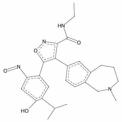 CCNC(=O)c1noc(-c2cc(C(C)C)c(O)cc2N=O)c1-c1ccc2c(c1)CCCN(C)C2